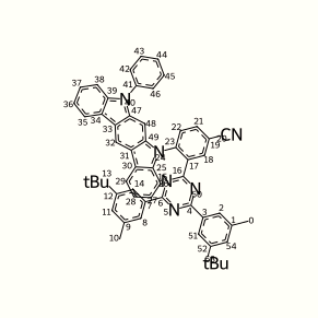 Cc1cc(-c2nc(-c3cc(C)cc(C(C)(C)C)c3)nc(-c3cc(C#N)ccc3-n3c4ccccc4c4cc5c6ccccc6n(-c6ccccc6)c5cc43)n2)cc(C(C)(C)C)c1